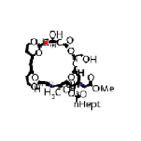 CCCCCCCC(=O)O[C@H]1/C(=C/C(=O)OC)C[C@H]2C[C@H](CO)OC(=O)C[C@H](O)C[C@@H]3OCCC(CC4CCO[C@H](/C=C/C(C)(C)[C@]1(O)O2)O4)O3